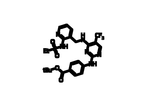 CCS(=O)(=O)Nc1ncccc1CNc1nc(Nc2ccc(C(=O)OC(C)(C)C)cc2)ncc1C(F)(F)F